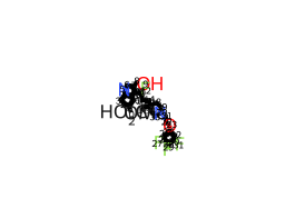 COc1ccc2ncc(CO)c([C@H](F)CCC3(CC(=O)O)CCN(CCOc4cc(F)c(F)c(F)c4)CC3)c2c1